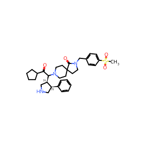 CS(=O)(=O)c1ccc(CN2CCC3(CCN(C(C(=O)C4CCCC4)[C@@H]4CNC[C@@H]4c4ccccc4)CC3)C2=O)cc1